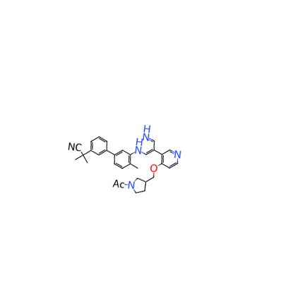 CC(=O)N1CCC(COc2ccncc2/C(C=N)=C/Nc2cc(-c3cccc(C(C)(C)C#N)c3)ccc2C)C1